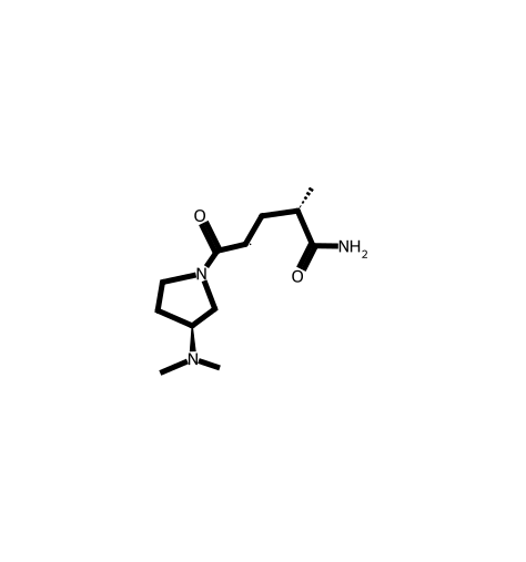 C[C@@H](C[CH]C(=O)N1CC[C@H](N(C)C)C1)C(N)=O